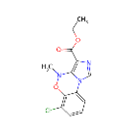 CCOC(=O)c1ncn2c1N(C)Oc1c(Cl)cccc1-2